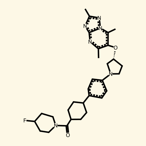 Cc1nc2nc(C)c(O[C@@H]3CCN(c4ccc(C5CCC(C(=O)N6CCC(F)CC6)CC5)cc4)C3)c(C)n2n1